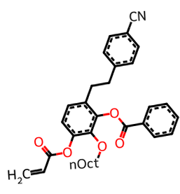 C=CC(=O)Oc1ccc(CCc2ccc(C#N)cc2)c(OC(=O)c2ccccc2)c1OCCCCCCCC